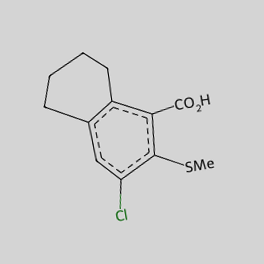 CSc1c(Cl)cc2c(c1C(=O)O)CCCC2